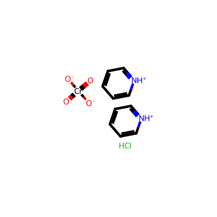 Cl.[O]=[Cr](=[O])([O-])[O-].c1cc[nH+]cc1.c1cc[nH+]cc1